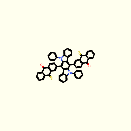 O=C1c2ccccc2C(=S)c2cc(-c3c4c5ccccc5n(-c5ccccc5)c4c(-c4ccc5c(c4)C(=S)c4ccccc4C5=O)c4c5ccccc5n(-c5ccccc5)c34)ccc21